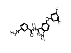 Nc1cccc(C(=O)Nc2n[nH]c3ccc(Oc4cc(F)cc(F)c4)cc23)c1